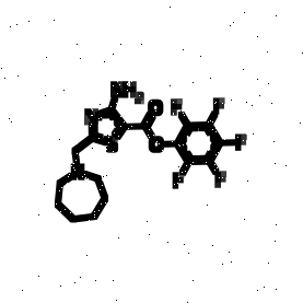 Nc1nc(CN2CCCCCC2)sc1C(=O)Oc1c(F)c(F)c(F)c(F)c1F